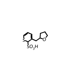 O=S(=O)(O)C1SC=CC=C1CC1CCCO1